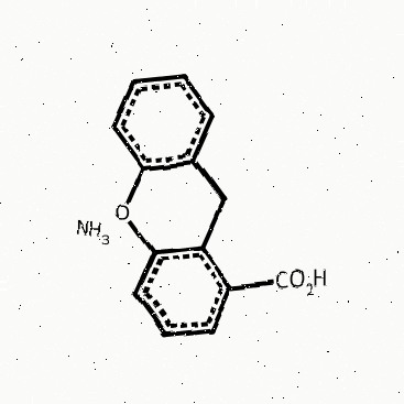 N.O=C(O)c1cccc2c1Cc1ccccc1O2